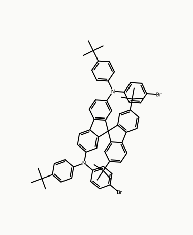 CC(C)(C)c1ccc(N(c2ccc(Br)cc2)c2ccc3c(c2)C2(c4cc(N(c5ccc(Br)cc5)c5ccc(C(C)(C)C)cc5)ccc4-3)c3cc(C(C)(C)C)ccc3-c3ccc(C(C)(C)C)cc32)cc1